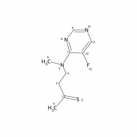 CC(=S)CCN(C)c1ncncc1F